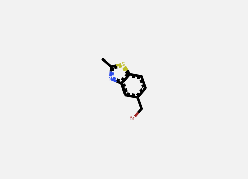 Cc1nc2cc(CBr)ccc2s1